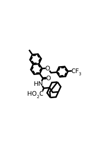 Cc1ccc2c(OCc3ccc(C(F)(F)F)cc3)c(C(=O)NC(C(=O)O)C34CC5CC(CC(C5)C3)C4)ccc2c1